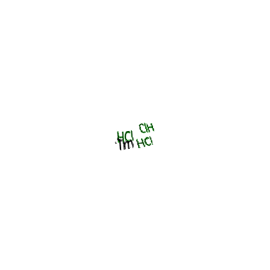 Cl.Cl.Cl.[Tm]